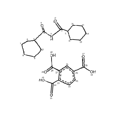 O=C(NC(=O)C1CCCCC1)C1CCCCC1.O=C(O)c1ccc(C(=O)O)c(C(=O)O)c1